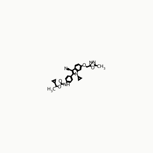 Cc1nnc(COc2ccc3c(C#N)c(-c4ccc(NC(=O)OC(C)C5CC5)cc4)n(C4CC4)c3c2)o1